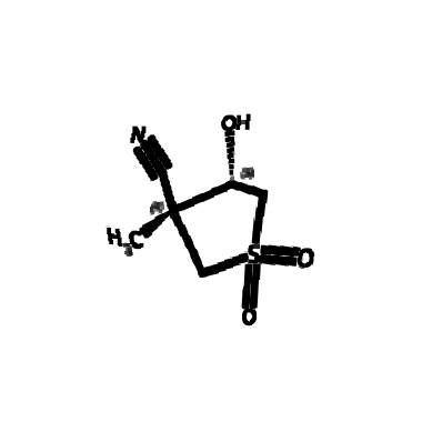 C[C@]1(C#N)CS(=O)(=O)C[C@H]1O